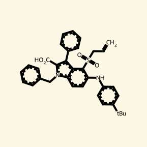 C=CCS(=O)(=O)c1c(Nc2ccc(C(C)(C)C)cc2)ccc2c1c(-c1ccccc1)c(C(=O)O)n2Cc1ccccc1